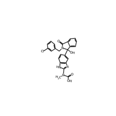 CN(C(=O)O)c1nc2cc(C3(O)c4ccccc4C(=O)N3Cc3cccc(Cl)c3)ccc2[nH]1